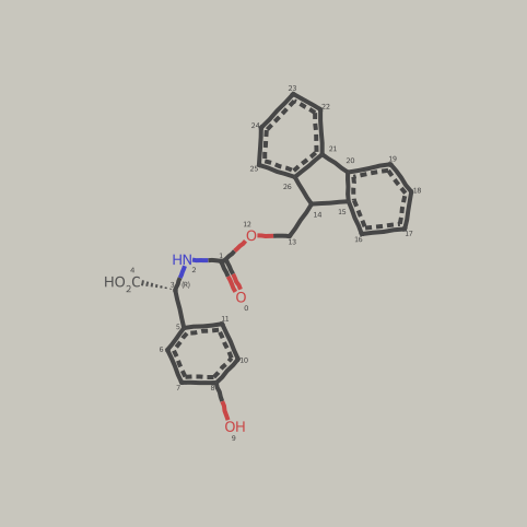 O=C(N[C@@H](C(=O)O)c1ccc(O)cc1)OCC1c2ccccc2-c2ccccc21